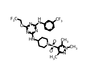 Cc1nn(C)c(C)c1S(=O)(=O)N1CCC(Nc2nc(Nc3cccc(C(F)(F)F)c3)nc(OCC(F)(F)F)n2)CC1